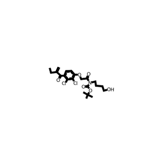 C=C(CC)C(=O)c1ccc(OCC(=O)N(CCCCO)C(=O)OC(C)(C)C)c(Cl)c1Cl